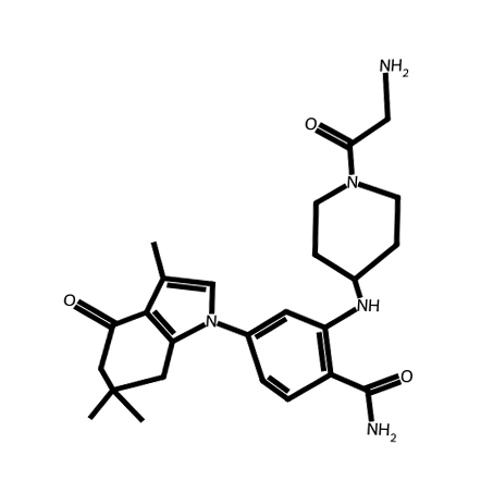 Cc1cn(-c2ccc(C(N)=O)c(NC3CCN(C(=O)CN)CC3)c2)c2c1C(=O)CC(C)(C)C2